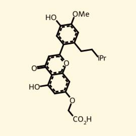 COc1cc(CCC(C)C)c(-c2cc(=O)c3c(O)cc(OCC(=O)O)cc3o2)cc1O